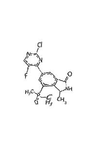 CC1NC(=O)c2cc(-c3nc(Cl)ncc3F)cc(P(C)(C)=O)c21